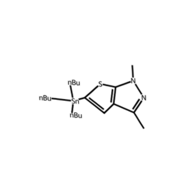 CCC[CH2][Sn]([CH2]CCC)([CH2]CCC)[c]1cc2c(C)nn(C)c2s1